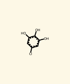 Oc1[c]c(Cl)cc(O)c1O